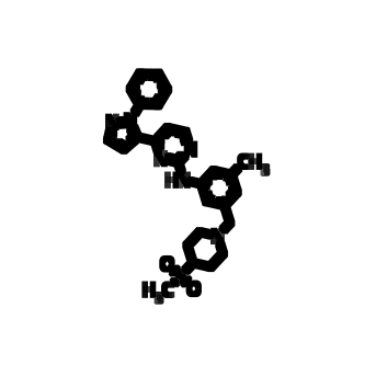 Cc1cc(CN2CCC(S(C)(=O)=O)CC2)cc(Nc2nccc(-c3ccnn3-c3ccccc3)n2)c1